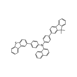 CC1(C)c2ccccc2-c2ccc(-c3ccc(N(c4ccc(-c5ccc6sc7ccccc7c6c5)cc4)c4cccc5ccccc45)cc3)cc21